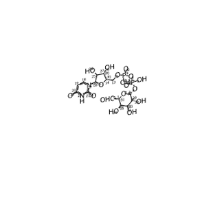 O=C[C@H]1O[C@H](OP(=O)(O)OP(=O)(O)OC[C@H]2O[C@@H](n3ccc(=O)[nH]c3=O)C(O)[C@H]2O)[C@H](O)[C@@H](O)[C@H]1O